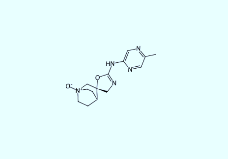 Cc1cnc(NC2=NC[C@@]3(C[N+]4([O-])CCC3CC4)O2)cn1